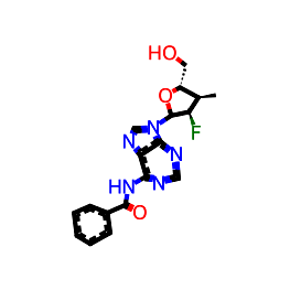 C[C@@H]1[C@@H](CO)OC(n2cnc3c(NC(=O)c4ccccc4)ncnc32)[C@@H]1F